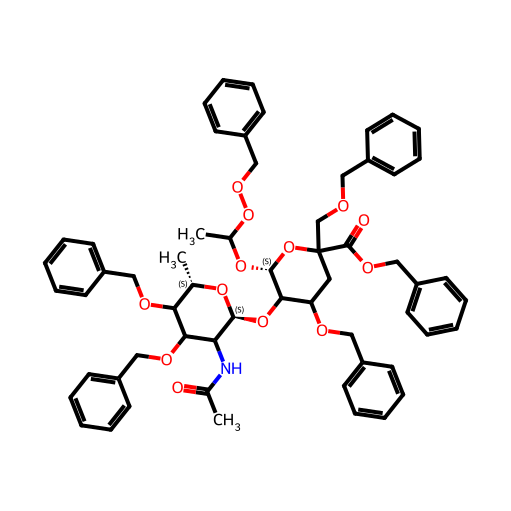 CC(=O)NC1C(OCc2ccccc2)C(OCc2ccccc2)[C@H](C)O[C@H]1OC1C(OCc2ccccc2)CC(COCc2ccccc2)(C(=O)OCc2ccccc2)O[C@H]1OC(C)OOCc1ccccc1